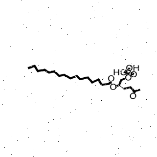 CCCCCCCCCCCCCCCC(=O)O[C@@H](CCC(C)=O)COP(=O)(O)O